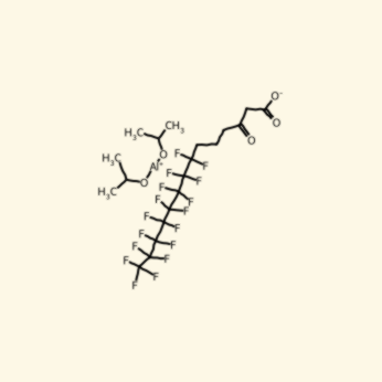 CC(C)[O][Al+][O]C(C)C.O=C([O-])CC(=O)CCCC(F)(F)C(F)(F)C(F)(F)C(F)(F)C(F)(F)C(F)(F)C(F)(F)C(F)(F)F